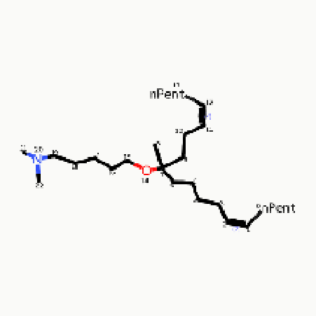 CCCCC/C=C\CCCCC(C)(CC/C=C\CCCCC)OCCCCCN(C)C